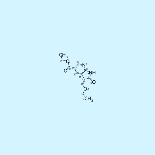 CCO/C=C1\C(=O)Nc2ncc(C(=O)OCC)cc21